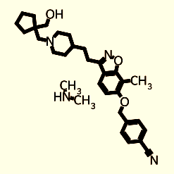 CNC.Cc1c(OCc2ccc(C#N)cc2)ccc2c(CCC3CCN(CC4(CO)CCCC4)CC3)noc12